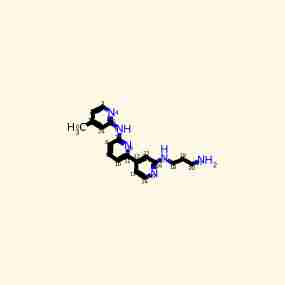 Cc1ccnc(Nc2cccc(-c3ccnc(NCCCN)c3)n2)c1